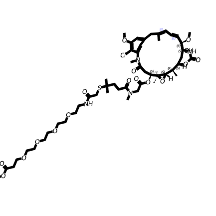 COC(=O)CCOCCOCCOCCOCCNC(=O)CSC(C)(C)CCC(=O)N(C)CC(=O)O[C@H]1CC(=O)N(C)c2cc(cc(OC)c2Cl)C/C(C)=C/C=C/[C@@H](OC)[C@@]2(O)C[C@H](OC(=O)N2)[C@@H](C)[C@@H]2O[C@@]12C